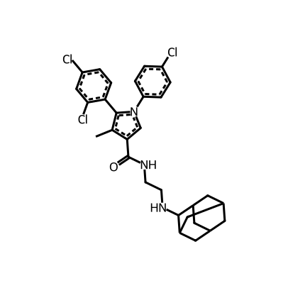 Cc1c(C(=O)NCCNC2C3CC4CC(C3)CC2C4)cn(-c2ccc(Cl)cc2)c1-c1ccc(Cl)cc1Cl